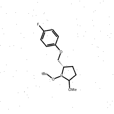 COC1CC[C@@H](COc2ccc(F)cc2)N1OC(C)(C)C